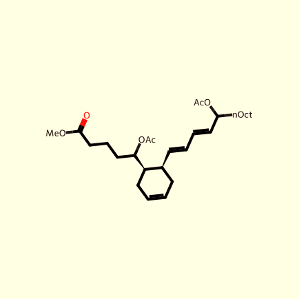 CCCCCCCCC(C=CC=C[C@H]1CC=CC[C@H]1C(CCCC(=O)OC)OC(C)=O)OC(C)=O